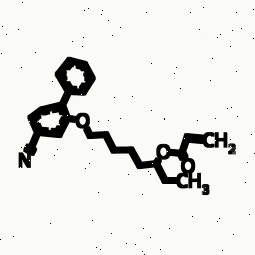 C=CC(=O)OC(CC)CCCCCOc1cc(C#N)ccc1-c1ccccc1